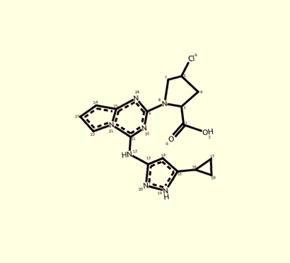 O=C(O)C1CC(Cl)CN1c1nc(Nc2cc(C3CC3)[nH]n2)n2cccc2n1